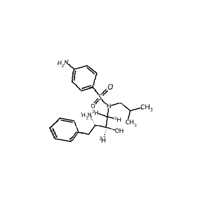 [2H]C([2H])(N(CC(C)C)S(=O)(=O)c1ccc(N)cc1)[C@@]([2H])(O)[C@@H](N)Cc1ccccc1